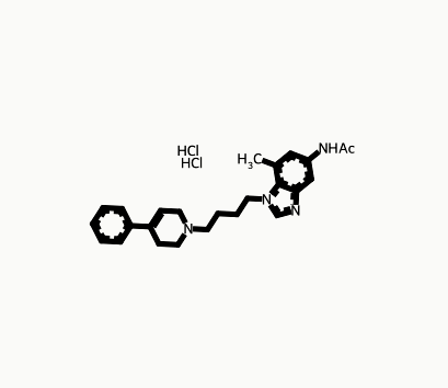 CC(=O)Nc1cc(C)c2c(c1)ncn2CCCCN1CC=C(c2ccccc2)CC1.Cl.Cl